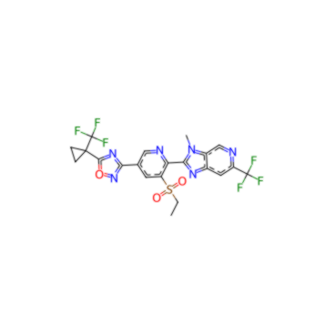 CCS(=O)(=O)c1cc(-c2noc(C3(C(F)(F)F)CC3)n2)cnc1-c1nc2cc(C(F)(F)F)ncc2n1C